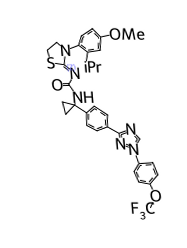 COc1ccc(N2CCS/C2=N\C(=O)NC2(c3ccc(-c4ncn(-c5ccc(OC(F)(F)F)cc5)n4)cc3)CC2)c(C(C)C)c1